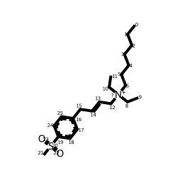 CCCCCCC[N+](CC)(CC)CC=CCc1ccc(S(C)(=O)=O)cc1